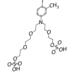 Cc1cc(N(CCOCCOCCOS(=O)(=O)O)CCOCCOS(=O)(=O)O)ccc1I